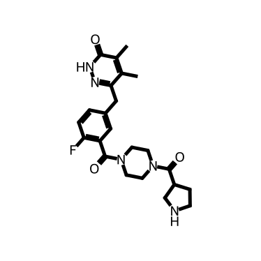 Cc1c(Cc2ccc(F)c(C(=O)N3CCN(C(=O)C4CCNC4)CC3)c2)n[nH]c(=O)c1C